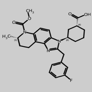 COC(=O)N1c2ccc3c(nc(Cc4cccc(F)c4)n3[C@@H]3CCC[C@@H](C(=O)O)C3)c2CC[C@@H]1C